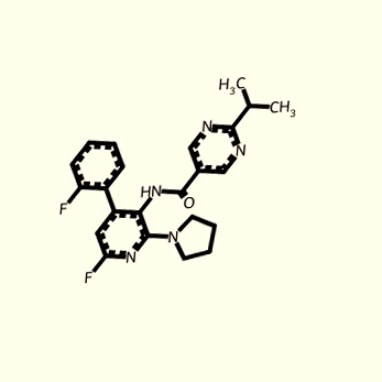 CC(C)c1ncc(C(=O)Nc2c(-c3ccccc3F)cc(F)nc2N2CCCC2)cn1